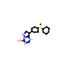 C=S(c1ccccc1)c1ccc(-c2cnn3c(O)ncnc23)cc1